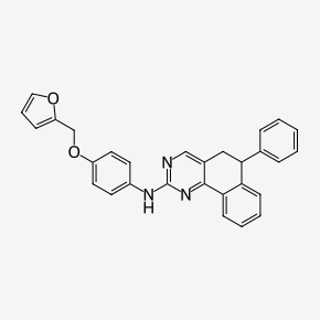 c1ccc(C2Cc3cnc(Nc4ccc(OCc5ccco5)cc4)nc3-c3ccccc32)cc1